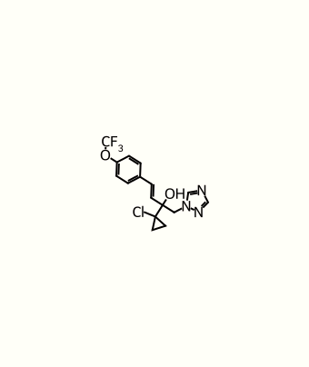 OC(/C=C/c1ccc(OC(F)(F)F)cc1)(Cn1cncn1)C1(Cl)CC1